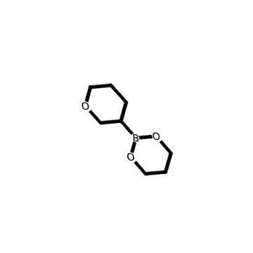 C1COB(C2CCCOC2)OC1